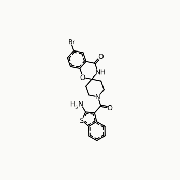 Nc1sc2ccccc2c1C(=O)N1CCC2(CC1)NC(=O)c1cc(Br)ccc1O2